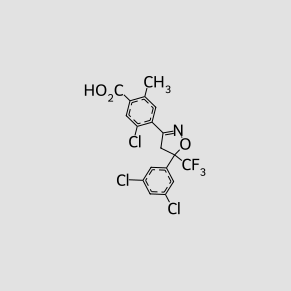 Cc1cc(C2=NOC(c3cc(Cl)cc(Cl)c3)(C(F)(F)F)C2)c(Cl)cc1C(=O)O